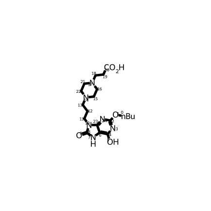 CCCCOc1nc(O)c2[nH]c(=O)n(CCCN3CCN(CCC(=O)O)CC3)c2n1